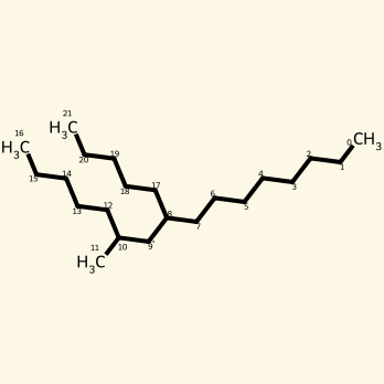 CCCCCCCCC([CH]C(C)CCCCC)CCCCC